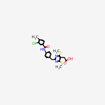 CSc1nc(Cc2ccc(NC(=O)c3ccc(C)c(Cl)c3)cc2)nc(SC)c1CC(=O)O